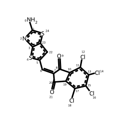 Nc1nc2sc(C=C3C(=O)c4c(Cl)c(Cl)c(Cl)c(Cl)c4C3=O)cc2s1